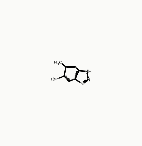 Cc1cc2[nH]nnc2cc1C(C)(C)C